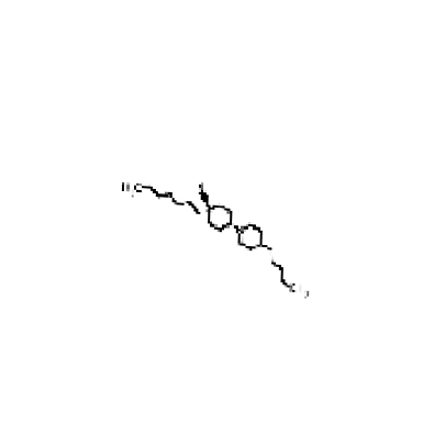 CCCCCCC[C@]1(C#N)CC[C@H](N2CCC(CCCCC)CC2)CC1